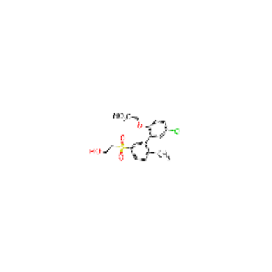 Cc1ccc(S(=O)(=O)CCO)cc1-c1cc(Cl)ccc1OCC(=O)O